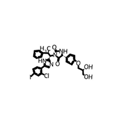 C[C@H](c1ccccc1)[C@@H](c1ncc(-c2ccc(I)cc2Cl)[nH]1)N1C(=O)N[C@H](c2ccc(OC[C@@H](O)CO)cc2)C1=O